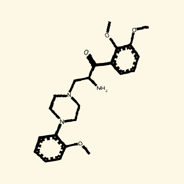 COc1ccccc1N1CCN(CC(N)C(=O)c2cccc(OC)c2OC)CC1